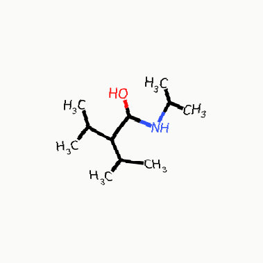 CC(C)NC(O)C(C(C)C)C(C)C